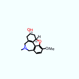 COc1ccc2c3c1O[C@H]1C[C@@H](O)CC(=C31)CN(C)C2